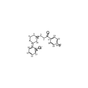 O=C(CCN1CCCC(c2cccc[n+]2[O-])C1)c1ccc(F)cc1